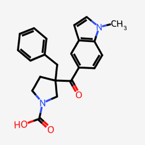 Cn1ccc2cc(C(=O)C3(Cc4ccccc4)CCN(C(=O)O)C3)ccc21